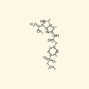 CCS(=O)(=O)c1ccc(CC(=O)Nc2nc3c(s2)CNC3C(C)C)nc1